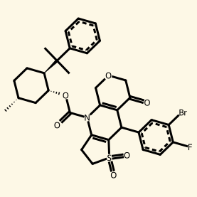 C[C@@H]1CC[C@@H](C(C)(C)c2ccccc2)[C@H](OC(=O)N2C3=C(C(=O)COC3)C(c3ccc(F)c(Br)c3)C3=C2CCS3(=O)=O)C1